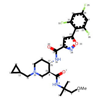 COCC(C)(C)NC(=O)[C@H]1CN(CC2CC2)CC[C@@H]1NC(=O)c1cc(-c2c(F)cc(F)cc2F)on1